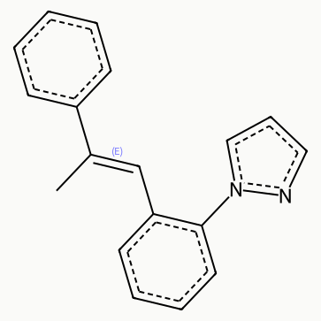 C/C(=C\c1ccccc1-n1cccn1)c1ccccc1